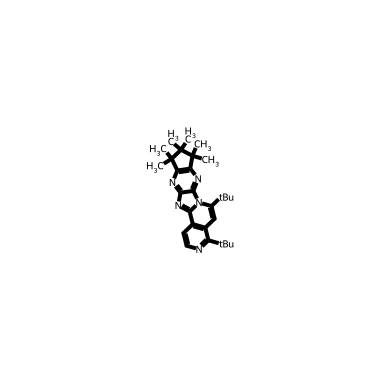 CC(C)(C)c1nccc2c1cc(C(C)(C)C)n1c3nc4c(nc3nc21)C(C)(C)C(C)(C)C4(C)C